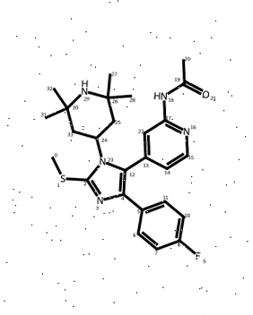 CSc1nc(-c2ccc(F)cc2)c(-c2ccnc(NC(C)=O)c2)n1C1CC(C)(C)NC(C)(C)C1